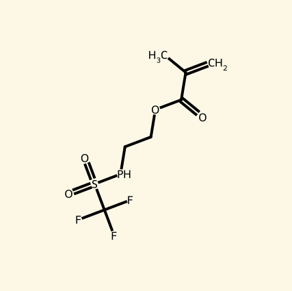 C=C(C)C(=O)OCCPS(=O)(=O)C(F)(F)F